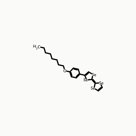 CCCCCCCCOc1ccc(C2=C[Se]C(=C3[Se]C=C[Se]3)[Se]2)cc1